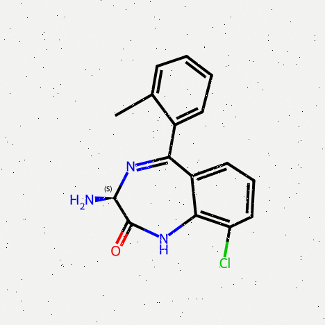 Cc1ccccc1C1=N[C@H](N)C(=O)Nc2c(Cl)cccc21